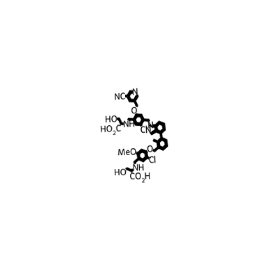 COc1cc(OCc2cccc(-c3cccc4c3cnn4Cc3cc(OCc4cncc(C#N)c4)c(CN[C@@H](CO)C(=O)O)cc3Cl)c2C)c(Cl)cc1CN[C@@H](CO)C(=O)O